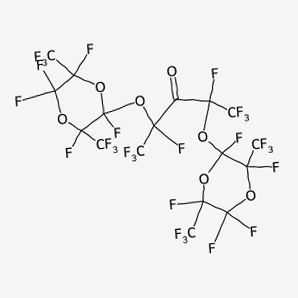 O=C(C(F)(OC1(F)OC(F)(C(F)(F)F)C(F)(F)OC1(F)C(F)(F)F)C(F)(F)F)C(F)(OC1(F)OC(F)(C(F)(F)F)C(F)(F)OC1(F)C(F)(F)F)C(F)(F)F